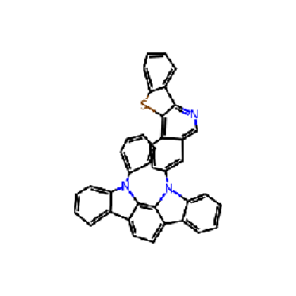 c1ccc(-n2c3ccccc3c3ccc4c5ccccc5n(-c5ccc6c(cnc7c8ccccc8sc67)c5)c4c32)cc1